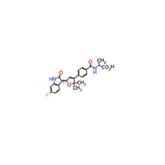 CC(NC(=O)c1ccc(C2=C/C(=C3\C(=O)Nc4cc(F)ccc43)OC2(C)C)cc1)C(=O)O